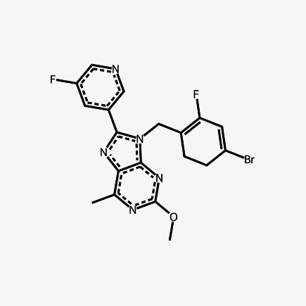 COc1nc(C)c2nc(-c3cncc(F)c3)n(CC3=C(F)C=C(Br)CC3)c2n1